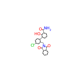 NC(=O)c1cccc(-c2ccc(Cl)cc2CN2C(=O)c3ccccc3C2=O)c1O